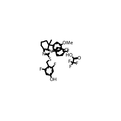 COc1cc(C2(C)CCCc3nc(SCc4c(F)cc(O)cc4F)n(-c4ccc(F)cc4)c32)ccc1Cl.O=C(O)C(F)(F)F